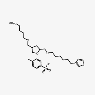 CCCCCCCCCCCCCCOCC1COC(COCCCCCC[n+]2ccsc2)C1.Cc1ccc(S(=O)(=O)[O-])cc1